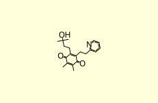 CC1=C(C)C(=O)C(CCC(C)(C)O)=C(CCc2ccccn2)C1=O